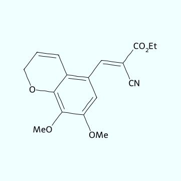 CCOC(=O)/C(C#N)=C/c1cc(OC)c(OC)c2c1C=CCO2